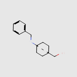 OCC12CCC(NCc3ccccc3)(CC1)CC2